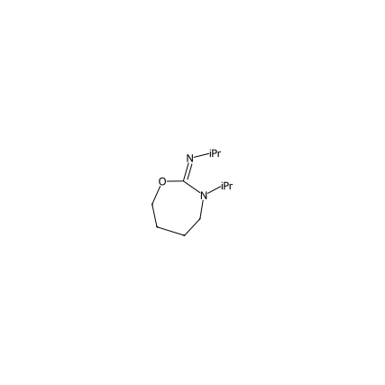 CC(C)N=C1OCCCCN1C(C)C